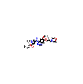 COC(=O)c1cc(Nc2ncnc3cc(OCCCN4CCOCC4)c(OC)cc23)cn1C